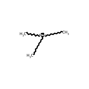 CCCCCCCCCCCCc1n(CCCCCCCCCCC)cc[n+]1CCCCCCCCC